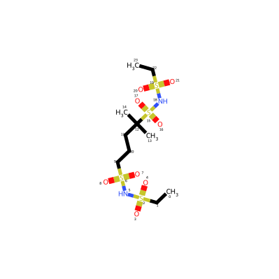 CCS(=O)(=O)NS(=O)(=O)CCCC(C)(C)S(=O)(=O)NS(=O)(=O)CC